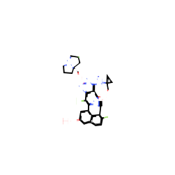 C#Cc1c(F)ccc2cc(O)cc(-c3nc4c5c(nc(OC[C@@]67CCCN6C[C@H](F)C7)nc5c3F)N(C)C3(CC3)CO4)c12